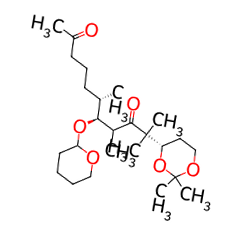 CC(=O)CCC[C@H](C)[C@H](OC1CCCCO1)C(C)C(=O)C(C)(C)[C@@H]1CCOC(C)(C)O1